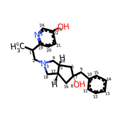 CC(CN1C[C@@H]2C[C@@](O)(Cc3ccccc3)C[C@@H]2C1)c1ccc(O)cn1